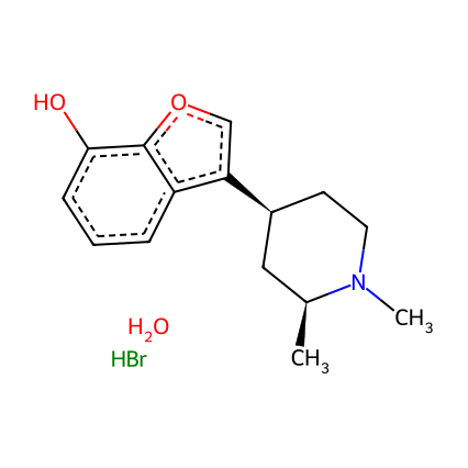 Br.C[C@H]1C[C@@H](c2coc3c(O)cccc23)CCN1C.O